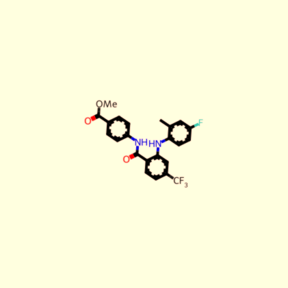 COC(=O)c1ccc(NC(=O)c2ccc(C(F)(F)F)cc2Nc2ccc(F)cc2C)cc1